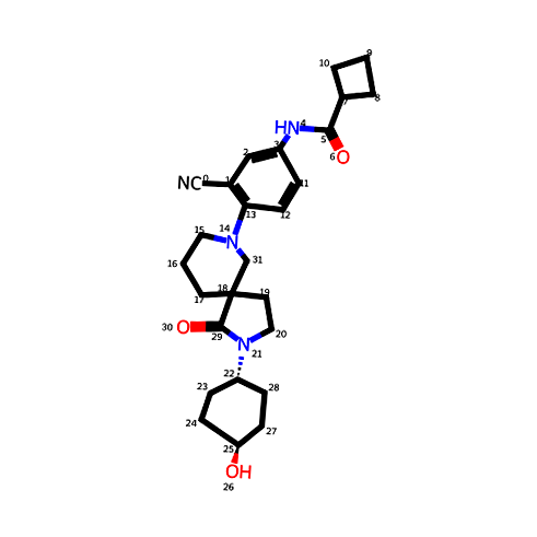 N#Cc1cc(NC(=O)C2CCC2)ccc1N1CCCC2(CCN([C@H]3CC[C@H](O)CC3)C2=O)C1